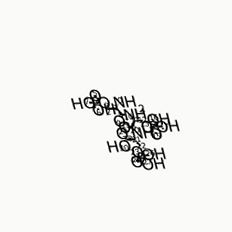 N[C@@H](COP(=O)(O)O)C(=O)N[C@@H](COP(=O)(O)O)C(=O)N[C@@H](COP(=O)(O)O)C(=O)O